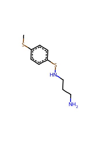 CSc1ccc(SNCCCN)cc1